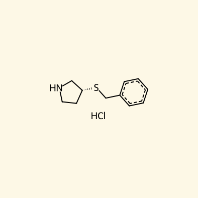 Cl.c1ccc(CS[C@@H]2CCNC2)cc1